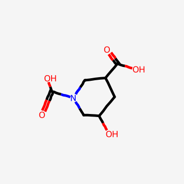 O=C(O)C1CC(O)CN(C(=O)O)C1